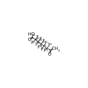 CC(=O)C(F)(F)C(F)(F)C(F)(F)C(F)(F)C(F)(F)C(=O)O